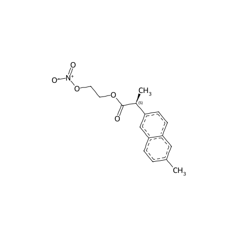 Cc1ccc2cc([C@H](C)C(=O)OCCO[N+](=O)[O-])ccc2c1